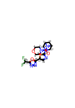 O=C(N1CCOCC1)N1C2CC1CN(c1ncc(-c3nnc(C(F)F)o3)s1)C2